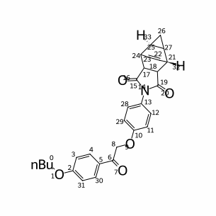 CCCCOc1ccc(C(=O)COc2ccc(N3C(=O)C4C(C3=O)[C@@H]3C=CC4[C@H]4CC34)cc2)cc1